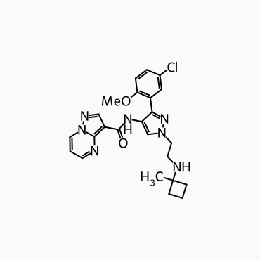 COc1ccc(Cl)cc1-c1nn(CCNC2(C)CCC2)cc1NC(=O)c1cnn2cccnc12